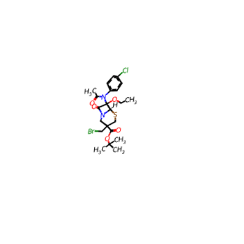 CCOC1(N(C(C)=O)c2ccc(Cl)cc2)C(=O)N2CC(CBr)(C(=O)OC(C)(C)C)CS[C@@H]21